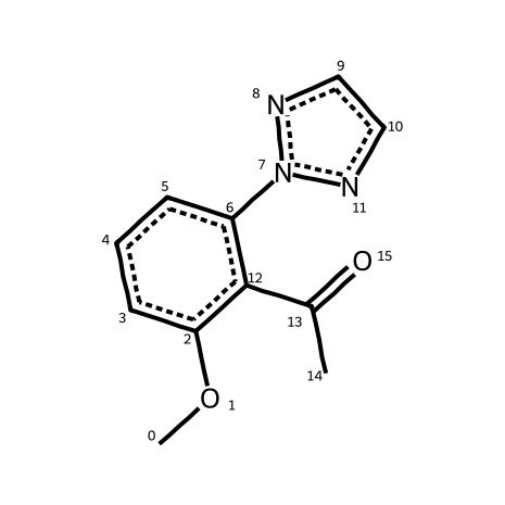 COc1cccc(-n2nccn2)c1C(C)=O